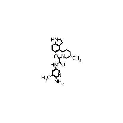 Cc1cc(NC(=O)C(=O)N2C[C@@H](C)CCC2c2cccc3c2CCN3)cnc1N